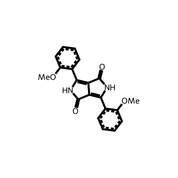 COc1ccccc1C1=C2C(=O)NC(c3ccccc3OC)=C2C(=O)N1